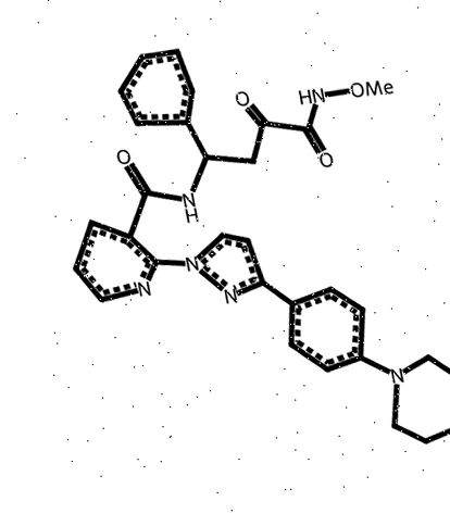 CONC(=O)C(=O)CC(NC(=O)c1cccnc1-n1ccc(-c2ccc(N3CCOCC3)cc2)n1)c1ccccc1